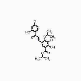 CC(C)OC(=O)c1cc(/C=C/C(=O)c2ccc(Cl)cc2O)c(OC(C)C)c(O)c1O